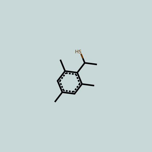 Cc1cc(C)c(C(C)S)c(C)c1